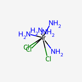 [NH2][Ir]([NH2])([NH2])([NH2])([NH2])([Cl])([Cl])[Cl]